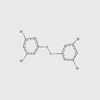 Brc1cc(Br)cc(SSc2cc(Br)cc(Br)c2)c1